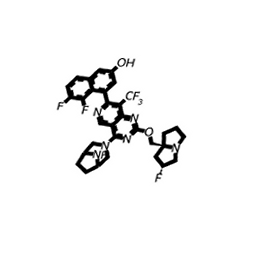 Oc1cc(-c2ncc3c(N4CC5CCC(C4)N5)nc(OC[C@@]45CCCN4C[C@H](F)C5)nc3c2C(F)(F)F)c2c(F)c(F)ccc2c1